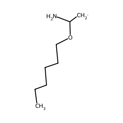 [CH2]C(N)OCCCCCC